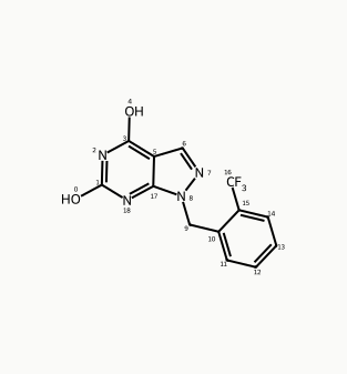 Oc1nc(O)c2cnn(Cc3ccccc3C(F)(F)F)c2n1